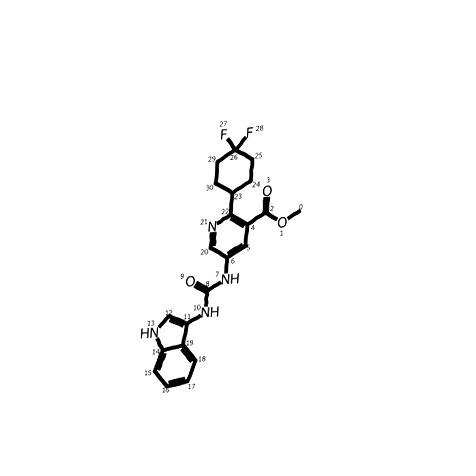 COC(=O)c1cc(NC(=O)Nc2c[nH]c3ccccc23)cnc1C1CCC(F)(F)CC1